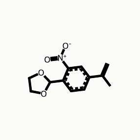 C=C(C)c1ccc(C2OCCO2)c([N+](=O)[O-])c1